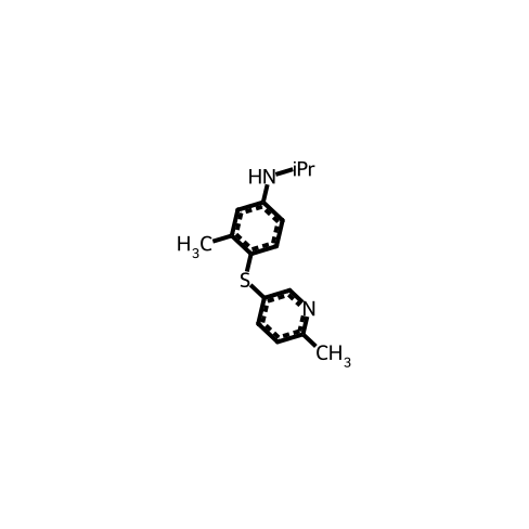 Cc1ccc(Sc2ccc(NC(C)C)cc2C)cn1